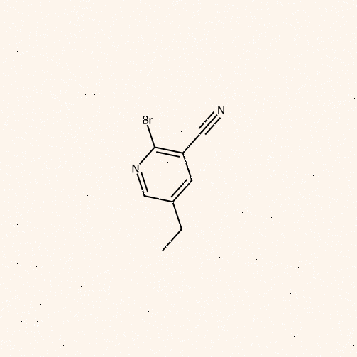 CCc1cnc(Br)c(C#N)c1